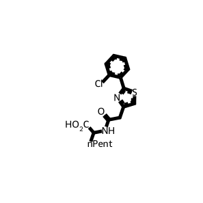 CCCCCC(NC(=O)Cc1csc(-c2ccccc2Cl)n1)C(=O)O